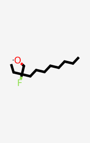 CCCCCCCCC(F)(CC)C[O]